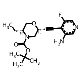 CC[C@@H]1CO[C@H](C#Cc2c(N)cncc2F)CN1C(=O)OC(C)(C)C